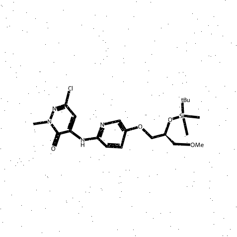 COC[C@@H](COc1ccc(Nc2cc(Cl)nn(C)c2=O)nc1)O[Si](C)(C)C(C)(C)C